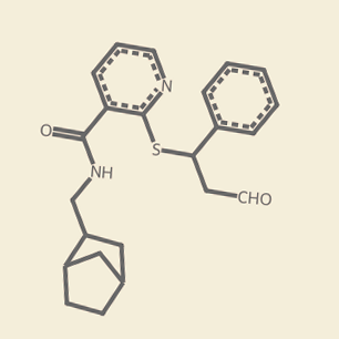 O=CCC(Sc1ncccc1C(=O)NCC1CC2CCC1C2)c1ccccc1